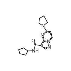 O=C(NC1CCCC1)c1cnn2ccc(N3CCCC3)nc12